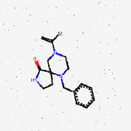 C=C(CC)N1CCN(Cc2ccccc2)C2(CCNC2=O)C1